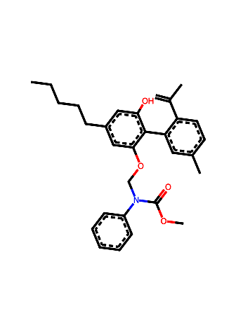 C=C(C)c1ccc(C)cc1-c1c(O)cc(CCCCC)cc1OCN(C(=O)OC)c1ccccc1